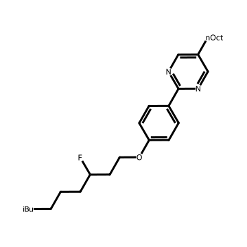 CCCCCCCCc1cnc(-c2ccc(OCCC(F)CCCC(C)CC)cc2)nc1